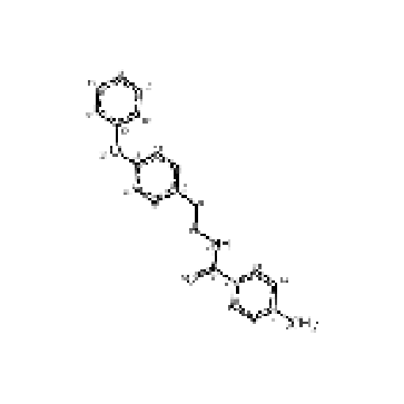 [CH2]c1ccc(C(=O)NCCc2ccc(Oc3ccccc3)cc2)cc1